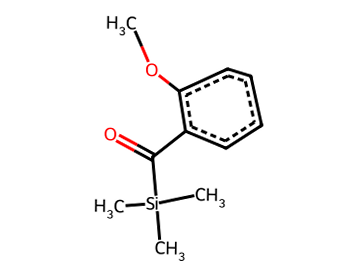 COc1ccccc1C(=O)[Si](C)(C)C